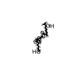 C=C(C)C(O)CCSCC(C)C(=O)OCCOC(C)(CC)C(=O)CCCCCO